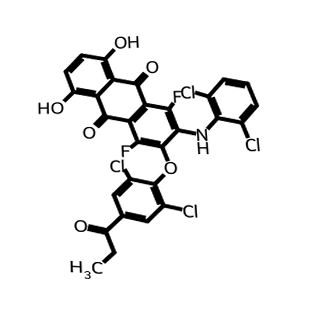 CCC(=O)c1cc(Cl)c(Oc2c(F)c3c(c(F)c2Nc2c(Cl)cccc2Cl)C(=O)c2c(O)ccc(O)c2C3=O)c(Cl)c1